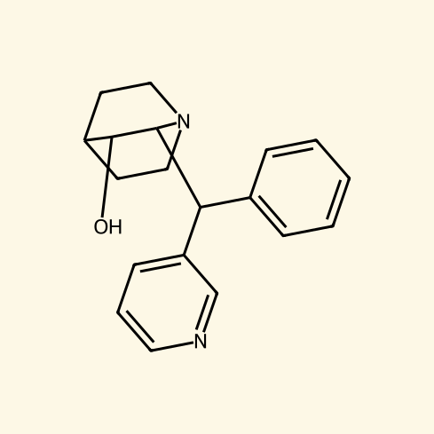 OC1C2CCN(CC2)C1C(c1ccccc1)c1cccnc1